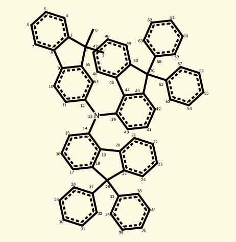 CC1(C)c2ccccc2-c2ccc(N(c3cccc4c3-c3ccccc3C4(c3ccccc3)c3ccccc3)c3cccc4c3-c3ccccc3C4(c3ccccc3)c3ccccc3)cc21